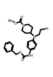 CC(C)CCN(c1ccc(NC(=O)OCc2ccccc2)cc1)C1CCN(C(=O)OC(C)(C)C)CC1